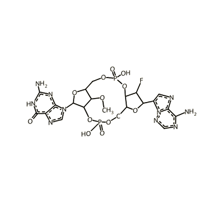 COC1C2COP(=O)(O)OC3C(COP(=O)(O)OC1C(n1cnc4c(=O)[nH]c(N)nc41)O2)OC(c1cnc2c(N)ncnn12)C3F